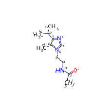 CC(=O)NCCn1cnc(C(C)C)c1C